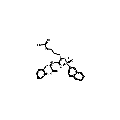 N=C(N)NCCC[C@H](NS(=O)(=O)c1ccc2ccccc2c1)C(=O)N[C@@H](Cc1ccccc1)C(N)=O